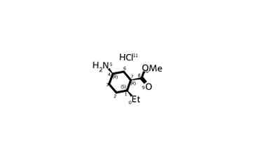 CC[C@H]1CC[C@@H](N)C[C@H]1C(=O)OC.Cl